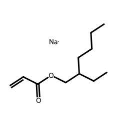 C=CC(=O)OCC(CC)CCCC.[Na]